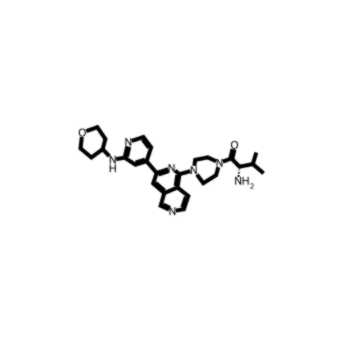 CC(C)[C@H](N)C(=O)N1CCN(c2nc(-c3ccnc(NC4CCOCC4)c3)cc3cnccc23)CC1